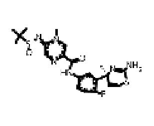 Cn1cc(C(=O)Nc2ccc(F)c([C@]3(C)C=CSC(N)=N3)c2)nc/c1=N\[S+]([O-])C(C)(C)C